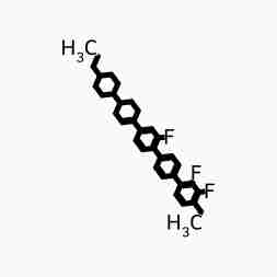 CCCC1CCC(C2CC=C(c3ccc(-c4ccc(-c5ccc(CC)c(F)c5F)cc4)c(F)c3)CC2)CC1